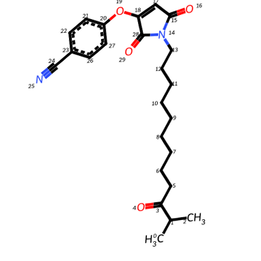 CC(C)C(=O)CCCCCCCCCN1C(=O)C=C(Oc2ccc(C#N)cc2)C1=O